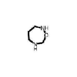 C1CNCONC1